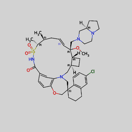 CO[C@@]1(CN2CCN3CCC[C@@H]3C2)/C=C/C[C@H](C)[C@@H](C)S(=O)(=O)NC(=O)c2ccc3c(c2)N(C[C@@H]2CC[C@H]21)C[C@@]1(CCCc2cc(Cl)ccc21)CO3